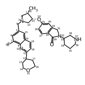 C[C@@H]1CN(Cc2cc(F)c3nc(C4CCOCC4)ccc3c2)C[C@H]1Oc1ccc2c(c1)CN(C1CCCNC1)C2=O